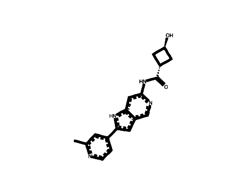 Cc1cc(-c2cc3cnc(NC(=O)[C@H]4C[C@H](O)C4)cc3[nH]2)ccn1